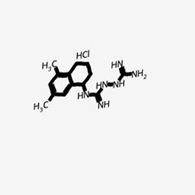 Cc1cc(C)c2c(c1)C(NC(=N)NNC(=N)N)CCC2.Cl